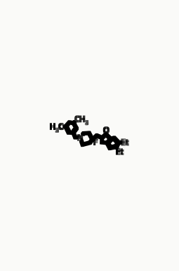 CCc1cc2c(cc1CC)C(=O)C(CC1(F)CCN(CC3=CC(C)CC(C)=C3)CC1)C2